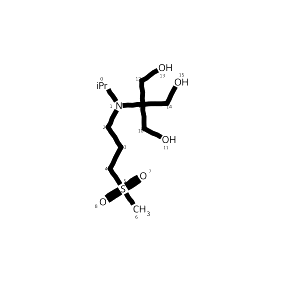 CC(C)N(CCCS(C)(=O)=O)C(CO)(CO)CO